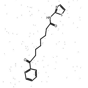 O=C(CCCCCCC(=O)c1ccccc1)Nc1nccs1